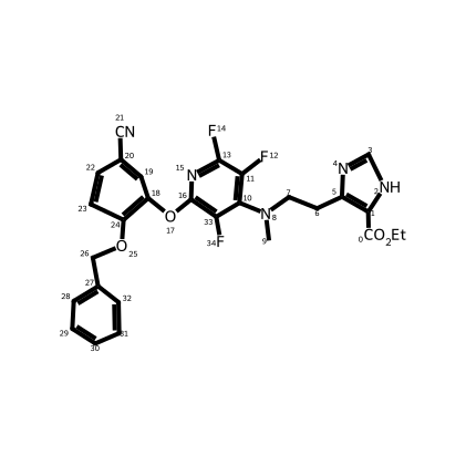 CCOC(=O)c1[nH]cnc1CCN(C)c1c(F)c(F)nc(Oc2cc(C#N)ccc2OCc2ccccc2)c1F